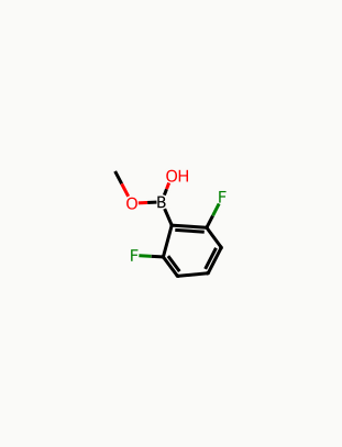 COB(O)c1c(F)cccc1F